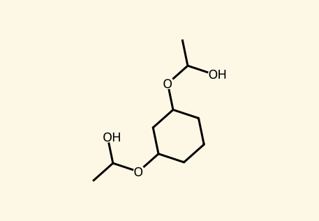 CC(O)OC1CCCC(OC(C)O)C1